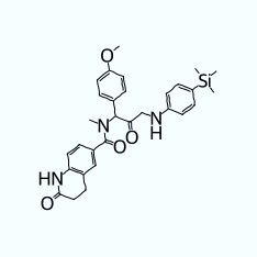 COc1ccc(C(C(=O)CNc2ccc([Si](C)(C)C)cc2)N(C)C(=O)c2ccc3c(c2)CCC(=O)N3)cc1